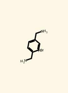 Br.NCc1ccc(CN)cc1